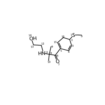 CSC1C=CC(C(=O)C(C)(C)NCCO)=CC1